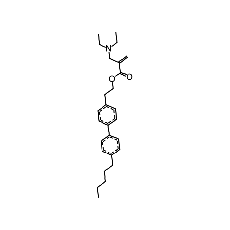 C=C(CN(CC)CC)C(=O)OCCc1ccc(-c2ccc(CCCCC)cc2)cc1